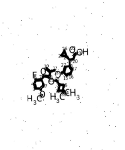 COc1ccc(F)c(-c2occ(COc3cccc(C(CC(=O)O)C4CC4)c3)c2OCC2CC(C)(C)C2)c1